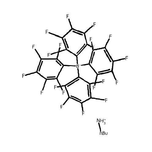 CCCC[NH3+].Fc1c(F)c(F)c([B-](c2c(F)c(F)c(F)c(F)c2F)(c2c(F)c(F)c(F)c(F)c2F)c2c(F)c(F)c(F)c(F)c2F)c(F)c1F